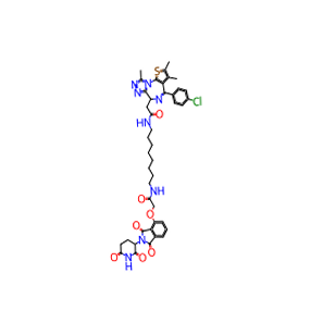 Cc1sc2c(c1C)C(c1ccc(Cl)cc1)=NC(CC(=O)NCCCCCCCCNC(=O)COc1cccc3c1C(=O)N(C1CCC(=O)NC1=O)C3=O)c1nnc(C)n1-2